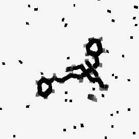 CC(C)CCC(CC(C)C)(OCCOc1ccccc1)[N+](C)(C)Cc1ccccc1.[Cl-]